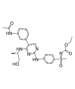 CCOC(=O)N=S(C)(=O)c1ccc(Nc2ncc(-c3cccc(NC(C)=O)c3)c(N[C@H](C)CO)n2)cc1